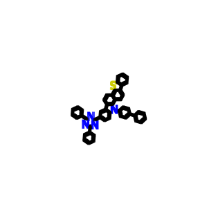 c1ccc(-c2ccc(-n3c4ccc(-c5nc(-c6ccccc6)nc(-c6ccccc6)n5)cc4c4ccc5c(ccc6c7ccccc7sc65)c43)cc2)cc1